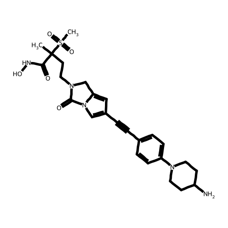 CC(CCN1Cc2cc(C#Cc3ccc(N4CCC(N)CC4)cc3)cn2C1=O)(C(=O)NO)S(C)(=O)=O